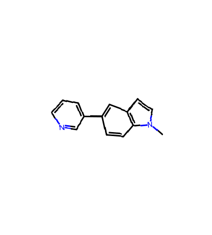 Cn1ccc2cc(-c3cccnc3)ccc21